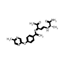 C=C(/N=C(\C=C\N[C@@H](C)C(N)=O)C(N)=O)c1ccc(Oc2cnc(C)cn2)cc1